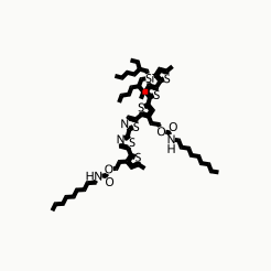 CCCCCCCCCNC(=O)OCCc1cc(C)sc1-c1cnc(-c2ncc(-c3sc(-c4cc5c(s4)-c4sc(C)cc4[Si]5(CC(CC)CCCC)CC(CC)CCCC)cc3CCOC(=O)NCCCCCCCCC)s2)s1